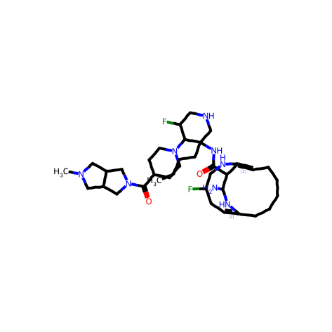 CCCCC1(NC(=O)C2/C3=C/CCCCC/C(=C/CC(F)CN3)NC2N)CNCC(F)C1N1CCC(C(=O)N2CC3CN(C)CC3C2)CC1